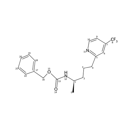 C[C@H](CCCc1cc(C(F)(F)F)ccn1)NC(=O)OCc1ccccc1